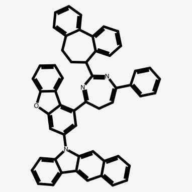 C1=C(c2ccccc2)N=C(C2CCc3ccccc3-c3ccccc32)N=C(c2cc(-n3c4ccccc4c4cc5ccccc5cc43)cc3oc4ccccc4c23)C1